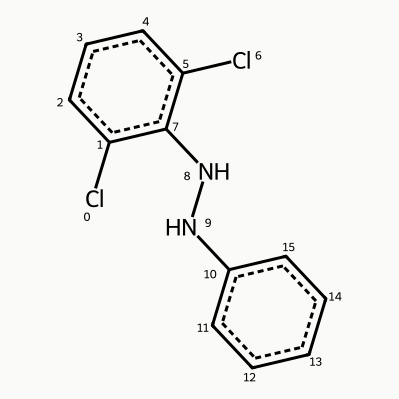 Clc1cccc(Cl)c1NNc1ccccc1